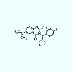 Cc1nc2ccc(N(C)C)cc2c(=O)n1C(c1ccc(F)cc1)C1CCCC1